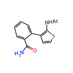 CC(=O)Nc1sccc1-c1ccccc1C(N)=O